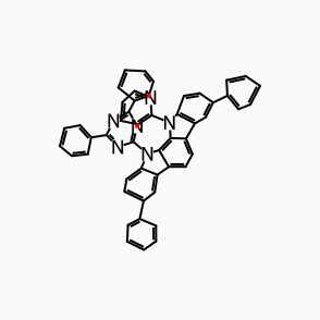 c1ccc(-c2ccc3c(c2)c2ccc4c5cc(-c6ccccc6)ccc5n(-c5nc(-c6ccccc6)nc(-c6ccccc6)n5)c4c2n3-c2ccccn2)cc1